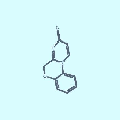 O=c1ccn2c(n1)COc1ccccc1-2